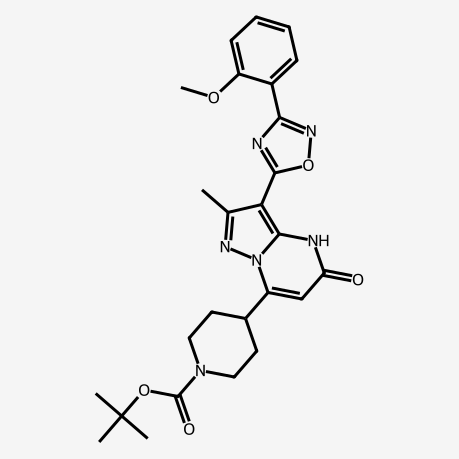 COc1ccccc1-c1noc(-c2c(C)nn3c(C4CCN(C(=O)OC(C)(C)C)CC4)cc(=O)[nH]c23)n1